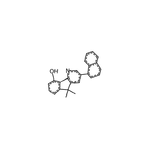 CC1(C)c2cc(-c3cccc4ccccc34)cnc2-c2c(O)cccc21